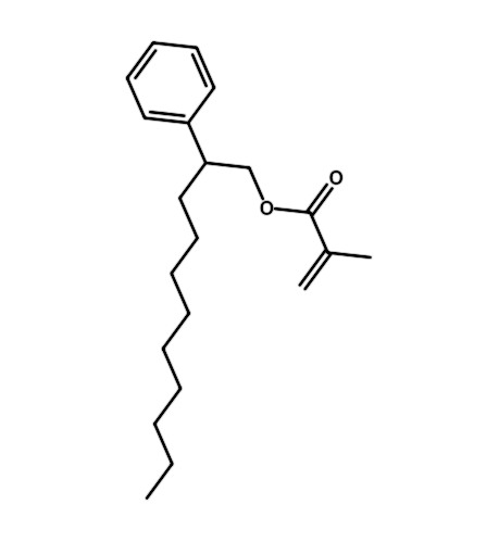 C=C(C)C(=O)OCC(CCCCCCCCC)c1ccccc1